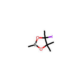 CB1OC(C)(C)C(C)(I)O1